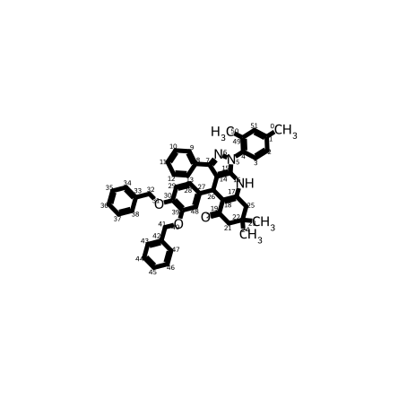 Cc1ccc(-n2nc(-c3ccccc3)c3c2NC2=C(C(=O)CC(C)(C)C2)C3c2ccc(OCc3ccccc3)c(OCc3ccccc3)c2)c(C)c1